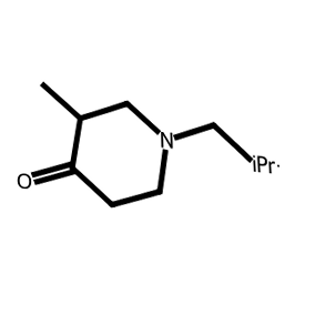 C[C](C)CN1CCC(=O)C(C)C1